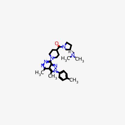 Cc1ccc(-n2nc3c(N4CCC(C(=O)N5CC[C@H](CN(C)C)C5)CC4)nnc(C)c3c2C)cc1